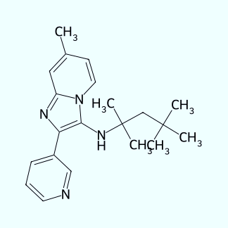 Cc1ccn2c(NC(C)(C)CC(C)(C)C)c(-c3cccnc3)nc2c1